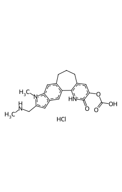 CNCc1cc2cc3c(cc2n1C)CCCc1cc(OC(=O)O)c(=O)[nH]c1-3.Cl